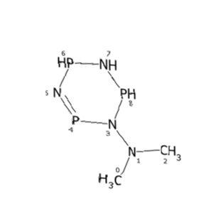 CN(C)n1pn[pH][nH][pH]1